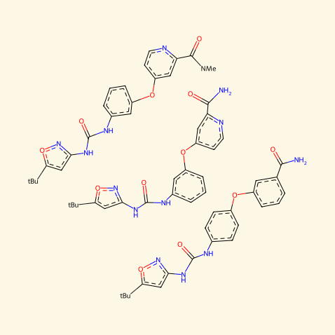 CC(C)(C)c1cc(NC(=O)Nc2ccc(Oc3cccc(C(N)=O)c3)cc2)no1.CC(C)(C)c1cc(NC(=O)Nc2cccc(Oc3ccnc(C(N)=O)c3)c2)no1.CNC(=O)c1cc(Oc2cccc(NC(=O)Nc3cc(C(C)(C)C)on3)c2)ccn1